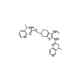 CC(CC(=O)Nc1sc2c(c1N)CCC(COC(=O)NC(C)c1cccnc1)C2)c1cccnc1